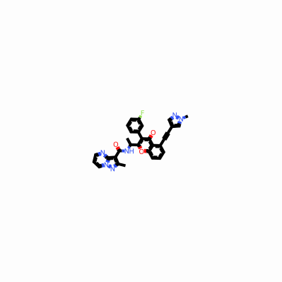 Cc1nn2cccnc2c1C(=O)NC(C)c1oc2cccc(C#Cc3cnn(C)c3)c2c(=O)c1-c1cccc(F)c1